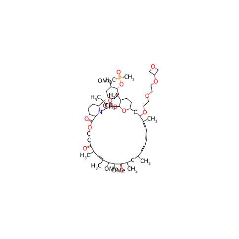 COC1C(=O)C(C)CC(C)C=CC=CC=C(C)C(OCCOCCOC2COC2)CC2CCC(C)C(O)(O2)C(=O)C(=O)N2C(CCCC2C(C)(C)[C@H]2CC[C@@H](OP(C)(C)=O)[C@H](OC)C2)C(=O)OCCC(=O)C(C)C=C(C)C1OC